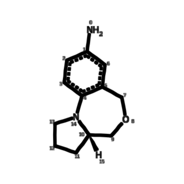 Nc1ccc2c(c1)COC[C@@H]1CCCN21